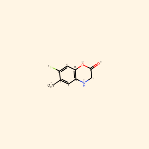 O=C1CNc2cc([N+](=O)[O-])c(F)cc2O1